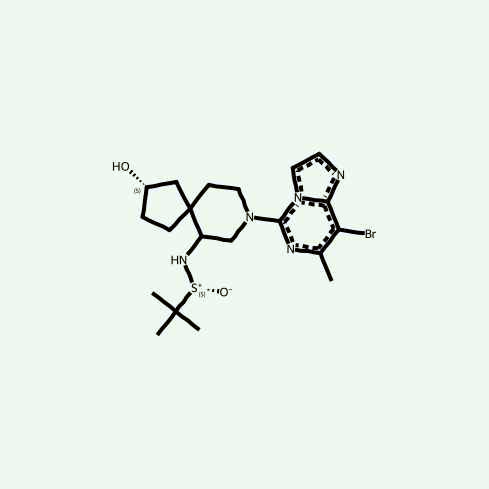 Cc1nc(N2CCC3(CC[C@H](O)C3)C(N[S@+]([O-])C(C)(C)C)C2)n2ccnc2c1Br